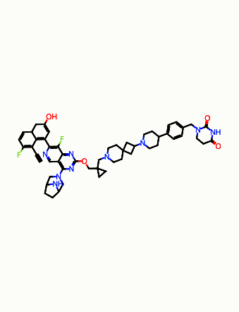 C#CC1=C(F)C=CC2CC(O)=CC(c3ncc4c(N5CC6CCC(C5)N6)nc(OCC5(CN6CCC7(CC6)CC(N6CCC(c8ccc(CN9CCC(=O)NC9=O)cc8)CC6)C7)CC5)nc4c3F)=C12